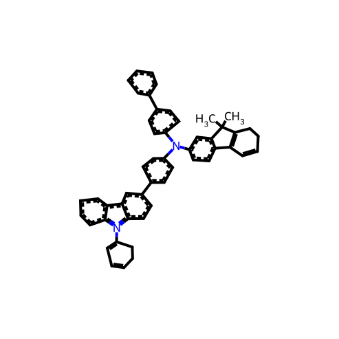 CC1(C)C2=C(C=CCC2)c2ccc(N(c3ccc(-c4ccccc4)cc3)c3ccc(-c4ccc5c(c4)c4ccccc4n5C4=CC=CCC4)cc3)cc21